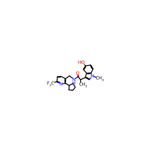 CC(C(=O)NCc1ccc(C(F)(F)F)nc1C1CCCC1)c1cn(C)c2ccc(O)cc12